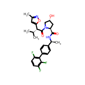 Cc1cc([C@H](C(=O)N2C[C@H](O)C[C@H]2C(=O)N[C@@H](C)c2ccc(-c3c(F)ccc(F)c3F)cc2)C(C)C)on1